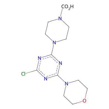 O=C(O)N1CCN(c2nc(Cl)nc(N3CCOCC3)n2)CC1